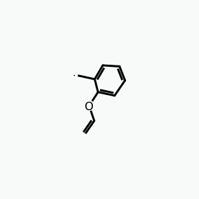 [CH2]c1ccccc1OC=C